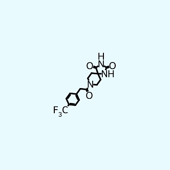 O=C1NC(=O)C2(CCN(C(=O)Cc3ccc(C(F)(F)F)cc3)CC2)N1